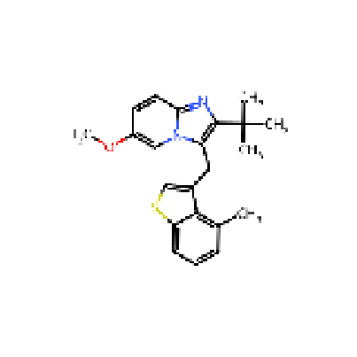 COc1ccc2nc(C(C)(C)C)c(Cc3csc4cccc(C)c34)n2c1